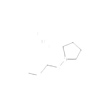 COCSN1CCCC1.F.F.F